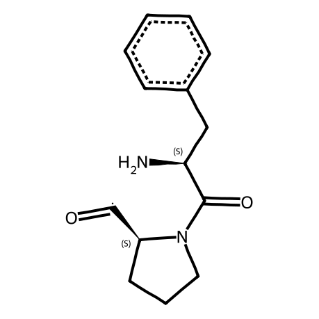 N[C@@H](Cc1ccccc1)C(=O)N1CCC[C@H]1[C]=O